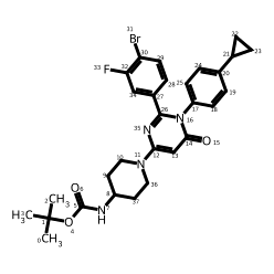 CC(C)(C)OC(=O)NC1CCN(c2cc(=O)n(-c3ccc(C4CC4)cc3)c(-c3ccc(Br)c(F)c3)n2)CC1